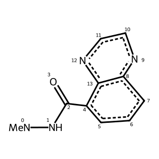 CNNC(=O)c1cccc2nccnc12